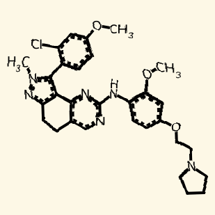 COc1ccc(-c2c3c(nn2C)CCc2cnc(Nc4ccc(OCCN5CCCC5)cc4OC)nc2-3)c(Cl)c1